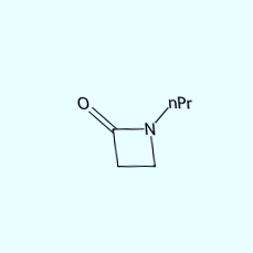 CCCN1CCC1=O